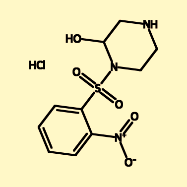 Cl.O=[N+]([O-])c1ccccc1S(=O)(=O)N1CCNCC1O